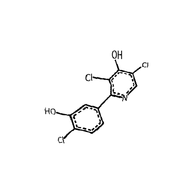 Oc1cc(-c2ncc(Cl)c(O)c2Cl)ccc1Cl